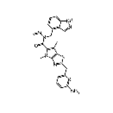 C=NN(Cc1cccc2[nH]ncc12)C(=O)c1c(C)c2sc(Cc3cccc(N)n3)nc2n1C